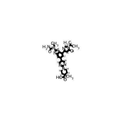 CCN(C(N)=O)c1nc2cc(-c3cnc(N4CCC(C)(C(=O)O)CC4)nc3)cc(-c3cc(=O)n(C(C)C)cn3)c2s1